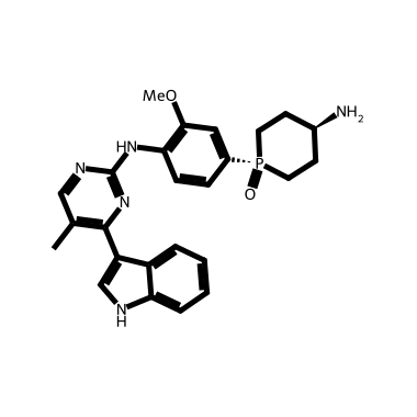 COc1cc([P@]2(=O)CC[C@@H](N)CC2)ccc1Nc1ncc(C)c(-c2c[nH]c3ccccc23)n1